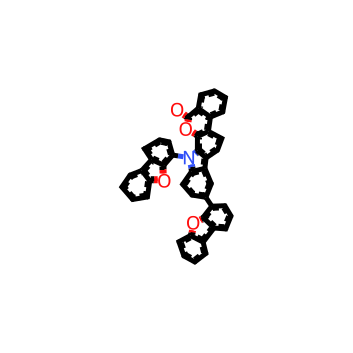 O=c1oc2c(ccc3c4cc(-c5cccc6c5oc5ccccc56)ccc4n(-c4cccc5c4oc4ccccc45)c32)c2ccccc12